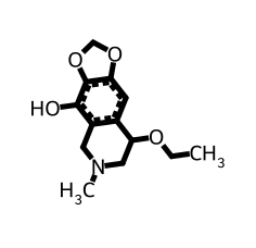 CCOC1CN(C)Cc2c1cc1c(c2O)OCO1